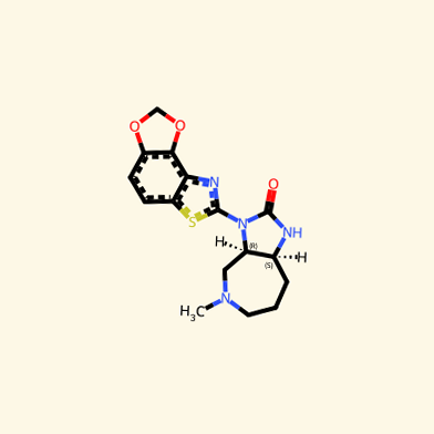 CN1CCC[C@@H]2NC(=O)N(c3nc4c5c(ccc4s3)OCO5)[C@@H]2C1